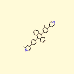 Cc1cc(-c2ccc(-c3c4ccccc4c(-c4ccc(-c5ccncc5)c(C)c4)c4ccccc34)cc2)ccn1